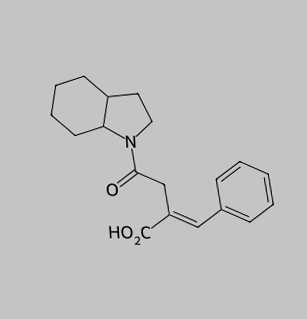 O=C(O)/C(=C/c1ccccc1)CC(=O)N1CCC2CCCCC21